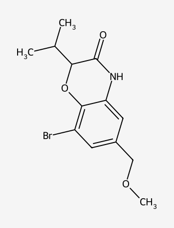 COCc1cc(Br)c2c(c1)NC(=O)C(C(C)C)O2